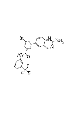 Nc1ncc2cc(-c3cc(Br)cc(C(=O)Nc4cccc(C(F)(F)F)c4)c3)ccc2n1